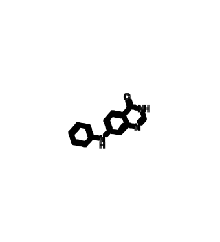 O=c1[nH]cnc2cc(Nc3ccccc3)ccc12